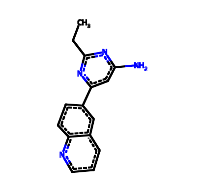 CCc1nc(N)cc(-c2ccc3ncccc3c2)n1